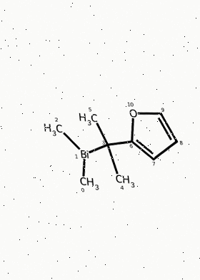 [CH3][Bi]([CH3])[C](C)(C)c1ccco1